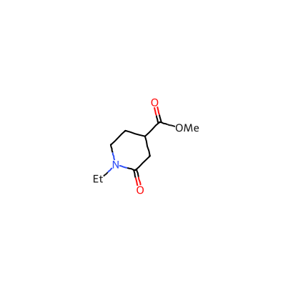 CCN1CCC(C(=O)OC)CC1=O